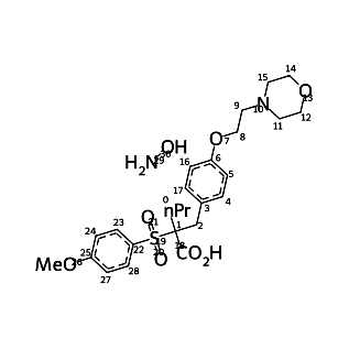 CCCC(Cc1ccc(OCCN2CCOCC2)cc1)(C(=O)O)S(=O)(=O)c1ccc(OC)cc1.NO